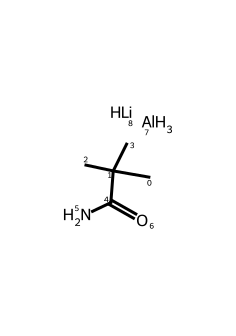 CC(C)(C)C(N)=O.[AlH3].[LiH]